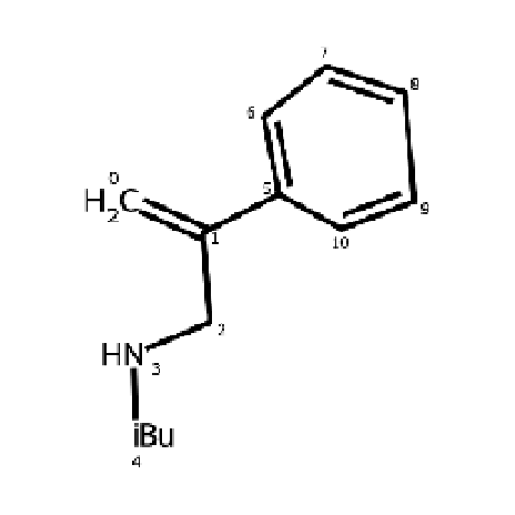 C=C(CNC(C)CC)c1ccccc1